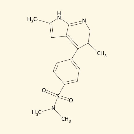 Cc1cc2c([nH]1)=NCC(C)C=2c1ccc(S(=O)(=O)N(C)C)cc1